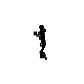 C=CC(=O)OCCCCOC(=O)Oc1ccc(C(=O)Oc2ccc(OC(=O)c3ccccc3)c(C)c2)cc1